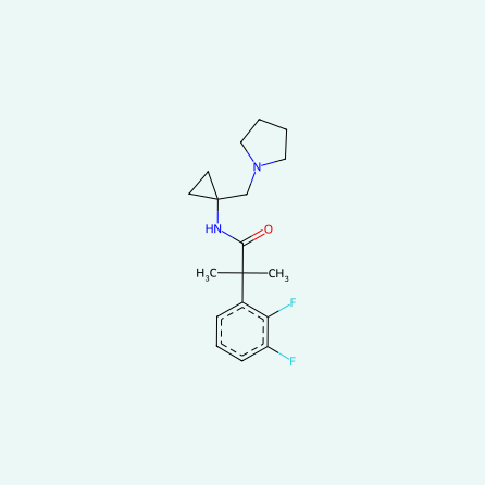 CC(C)(C(=O)NC1(CN2CCCC2)CC1)c1cccc(F)c1F